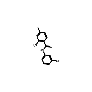 Cc1ccc(C(=O)Nc2cccc(O)c2)c(N)n1